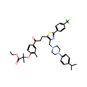 CCOC(=O)C(C)(C)Oc1ccc(C(=O)CCc2sc(-c3ccc(C(F)(F)F)cc3)nc2CN2CCN(c3ccc(C(C)C)cc3)CC2)cc1C